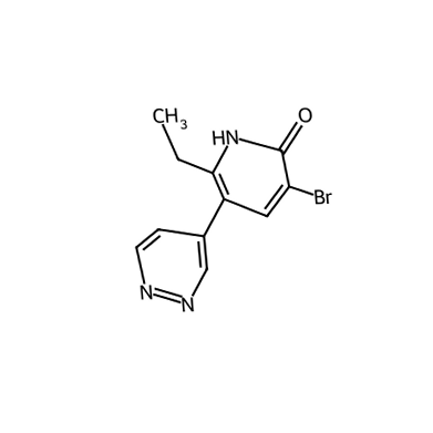 CCc1[nH]c(=O)c(Br)cc1-c1ccnnc1